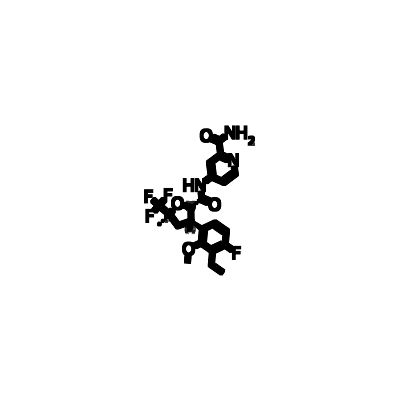 CCc1c(F)ccc([C@H]2C[C@@](C)(C(F)(F)F)O[C@@H]2C(=O)Nc2ccnc(C(N)=O)c2)c1OC